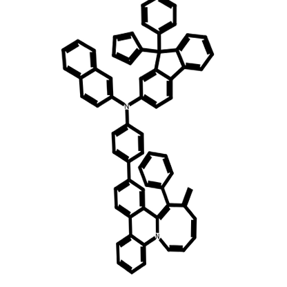 C=C1/C=C\C=C/N2/C(=C\1c1ccccc1)c1cc(-c3ccc(N(c4ccc5c(c4)C(C4=C=CC=C4)(c4ccccc4)c4ccccc4-5)c4ccc5ccccc5c4)cc3)ccc1-c1ccccc12